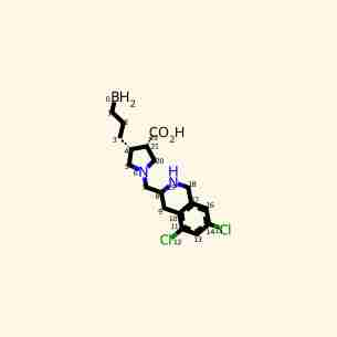 BCCC[C@H]1CN(CC2Cc3c(Cl)cc(Cl)cc3CN2)C[C@H]1C(=O)O